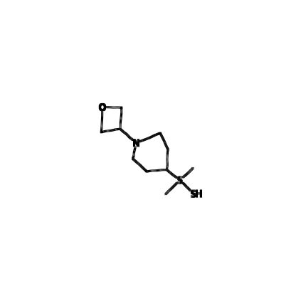 CS(C)(S)C1CCN(C2COC2)CC1